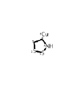 C1CSSN1.[Cu]